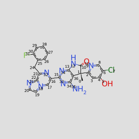 C[C@]1(c2cc(O)c(Cl)cn2)C(=O)Nc2nc(-c3cn4ccnc4c(Cc4ccccc4F)n3)nc(N)c21